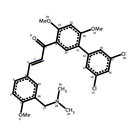 COc1ccc(/C=C/C(=O)c2cc(-c3cc(Cl)cc(Cl)c3)c(OC)cc2OC)cc1CN(C)C